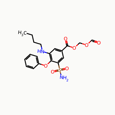 CCCCNc1cc(C(=O)OCOC=O)cc(S(N)(=O)=O)c1Oc1ccccc1